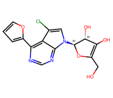 OCC1=C(O)[C@@H](O)[C@H](n2cc(Cl)c3c(-c4ccco4)ncnc32)O1